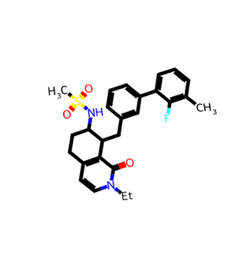 CCn1ccc2c(c1=O)C(Cc1cccc(-c3cccc(C)c3F)c1)C(NS(C)(=O)=O)CC2